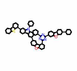 c1ccc(-c2ccc3c(c2)oc2cc(-c4nc(-c5ccccc5)nc(-c5cccc6oc7ccc(-c8ccc9c(c8)c8ccc(-c%10cccc%11c%10sc%10ccccc%10%11)cc8n9-c8ccccc8)cc7c56)n4)ccc23)cc1